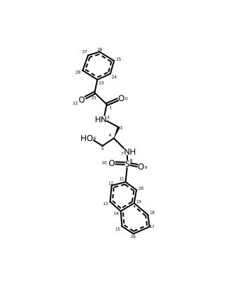 O=C(NC[C@H](CO)NS(=O)(=O)c1ccc2ccccc2c1)C(=O)c1ccccc1